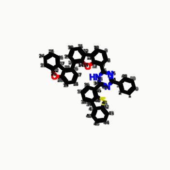 c1ccc(C2=NC(c3cccc4c3oc3c(-c5cccc6oc7ccccc7c56)cccc34)NC(c3cccc4c3sc3ccccc34)=N2)cc1